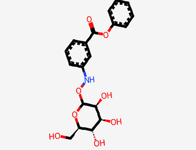 O=C(Oc1ccccc1)c1cccc(NOC2O[C@H](CO)[C@@H](O)[C@H](O)[C@@H]2O)c1